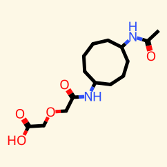 CC(=O)NC1CCCCC(NC(=O)COCC(=O)O)CCC1